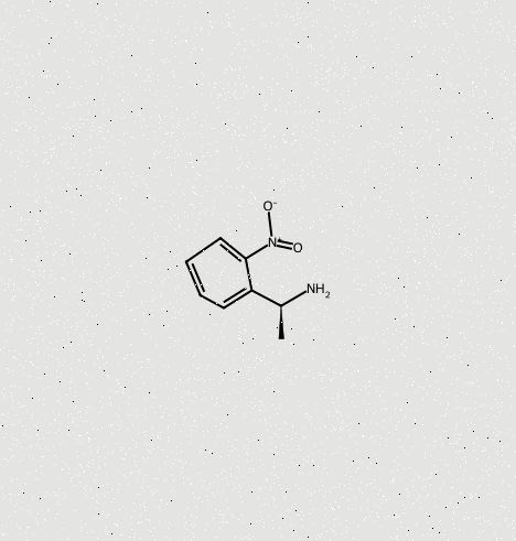 C[C@H](N)c1ccccc1[N+](=O)[O-]